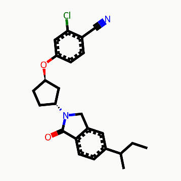 CCC(C)c1ccc2c(c1)CN([C@@H]1CC[C@@H](Oc3ccc(C#N)c(Cl)c3)C1)C2=O